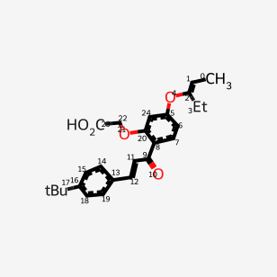 C/C=C(\CC)Oc1ccc(C(=O)/C=C/c2ccc(C(C)(C)C)cc2)c(OCC(=O)O)c1